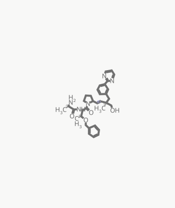 C[C@H](N)C(=O)N[C@H](C(=O)N1CCCC1/C=C/[C@](C)(CO)Cc1cccc(-c2ncccn2)c1)[C@@H](C)OCc1ccccc1